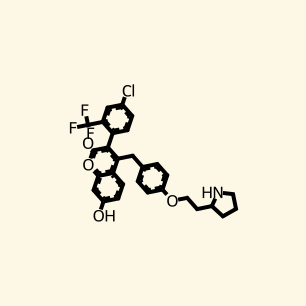 O=c1oc2cc(O)ccc2c(Cc2ccc(OCCC3CCCN3)cc2)c1-c1ccc(Cl)cc1C(F)(F)F